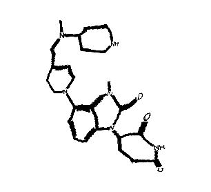 CN(CC1CCN(c2cccc3c2n(C)c(=O)n3C2CCC(=O)NC2=O)CC1)C1CCNCC1